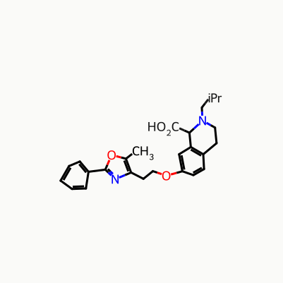 Cc1oc(-c2ccccc2)nc1CCOc1ccc2c(c1)C(C(=O)O)N(CC(C)C)CC2